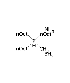 B.CCCCCCCC[PH](C)(CCCCCCCC)CCCCCCCC.N